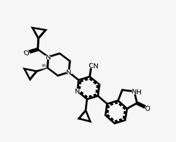 N#Cc1cc(-c2cccc3c2CNC3=O)c(C2CC2)nc1N1CCN(C(=O)C2CC2)[C@H](C2CC2)C1